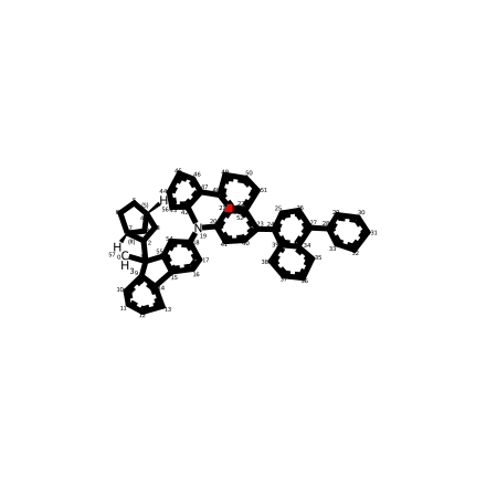 CC1(C2C[C@H]3CC[C@@H]2C3)c2ccccc2-c2ccc(N(c3ccc(-c4ccc(-c5ccccc5)c5ccccc45)cc3)c3ccccc3-c3ccccc3)cc21